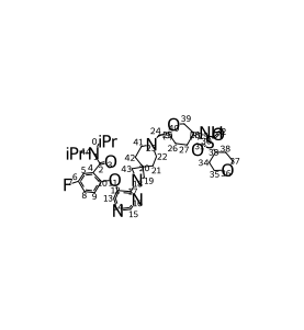 CC(C)N(C(=O)c1cc(F)ccc1Oc1cncnc1N1CC2(CCN(C[C@@H]3CC[C@@H](NS(=O)(=O)C4CCOCC4)CO3)CC2)C1)C(C)C